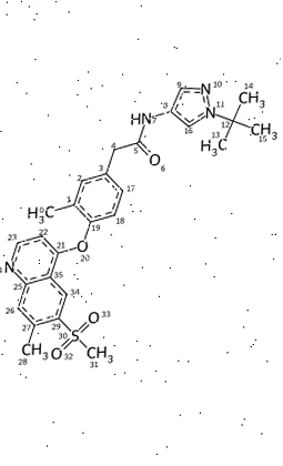 Cc1cc(CC(=O)Nc2cnn(C(C)(C)C)c2)ccc1Oc1ccnc2cc(C)c(S(C)(=O)=O)cc12